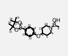 CB(O)N1CCC(Oc2ccc(B3OC(C)(C)C(C)(C)O3)cc2)CC1